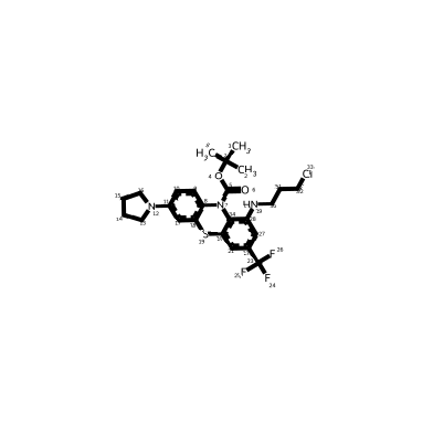 CC(C)(C)OC(=O)N1c2ccc(N3CCCC3)cc2Sc2cc(C(F)(F)F)cc(NCCCCl)c21